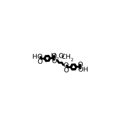 C=C.O=C(O)c1ccc(C(=O)OCCCCOC(=O)c2ccc(C(=O)O)cc2)cc1